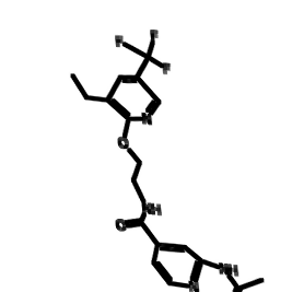 CCc1cc(C(F)(F)F)cnc1OCCNC(=O)c1ccnc(NC(C)=O)c1